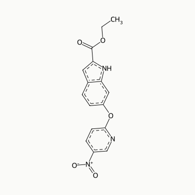 CCOC(=O)c1cc2ccc(Oc3ccc([N+](=O)[O-])cn3)cc2[nH]1